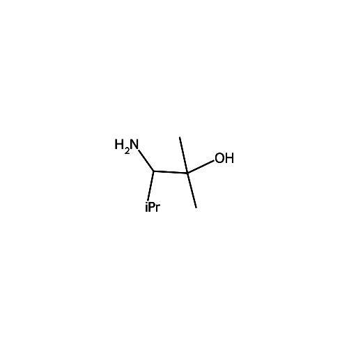 CC(C)C(N)C(C)(C)O